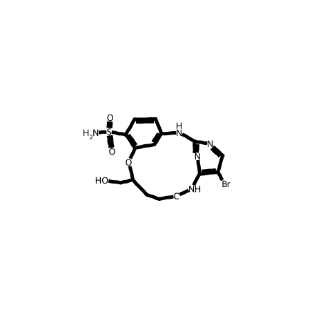 NS(=O)(=O)c1ccc2cc1OC(CO)CCCNc1nc(ncc1Br)N2